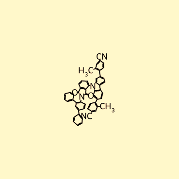 Cc1cc(C#N)ccc1-c1ccc2c3ccc(-c4ccc(C#N)cc4C)cc3n(-c3cccc4c3C(=O)N(c3ccc(-c5ccccc5)cc3-c3ccccc3)C4=O)c2c1